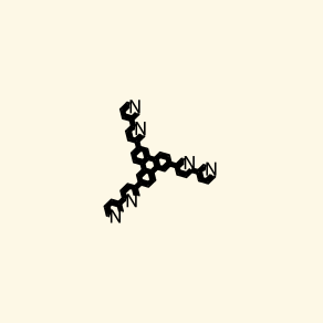 c1cncc(-c2ccc(-c3ccc4c(c3)c3ccc(-c5ccc(-c6cccnc6)nc5)cc3c3ccc(-c5ccc(-c6cccnc6)nc5)cc43)cn2)c1